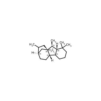 CC1C[C@]23C[C@H]1CC[C@H]2[C@]1(C)CCCC(C)(C)[C@H]1[C@@H]3C